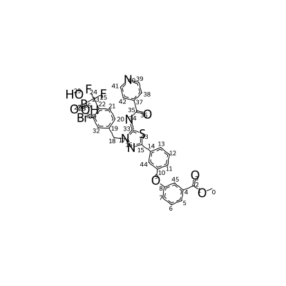 COC(=O)c1cccc(Oc2cccc(-c3nn(Cc4ccc(C(F)(F)P(=O)(O)O)c(Br)c4)c(=NC(=O)c4ccncc4)s3)c2)c1